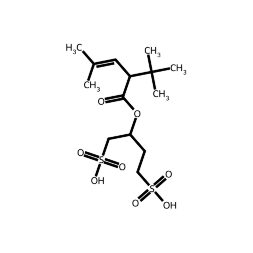 CC(C)=CC(C(=O)OC(CCS(=O)(=O)O)CS(=O)(=O)O)C(C)(C)C